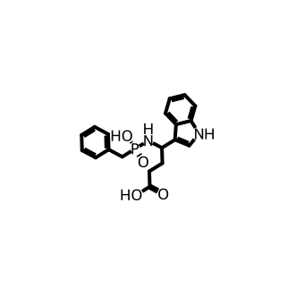 O=C(O)CCC(NP(=O)(O)Cc1ccccc1)c1c[nH]c2ccccc12